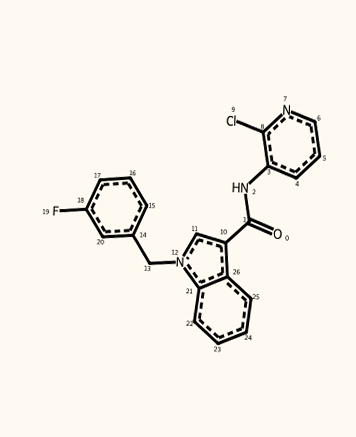 O=C(Nc1cccnc1Cl)c1cn(Cc2cccc(F)c2)c2ccccc12